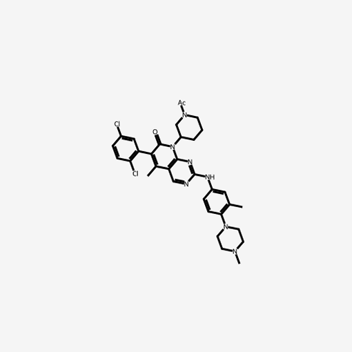 CC(=O)N1CCCC(n2c(=O)c(-c3cc(Cl)ccc3Cl)c(C)c3cnc(Nc4ccc(N5CCN(C)CC5)c(C)c4)nc32)C1